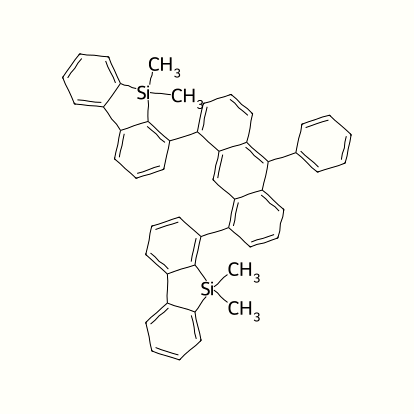 C[Si]1(C)c2ccccc2-c2cccc(-c3cccc4c(-c5ccccc5)c5cccc(-c6cccc7c6[Si](C)(C)c6ccccc6-7)c5cc34)c21